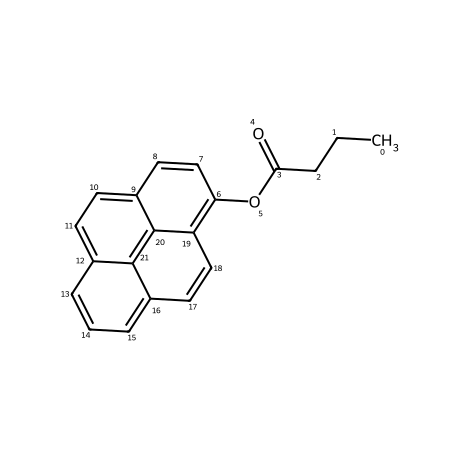 CCCC(=O)Oc1ccc2ccc3cccc4ccc1c2c34